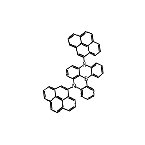 c1ccc2c(c1)B1c3ccccc3N(c3cc4cccc5ccc6cccc3c6c54)c3cccc(c31)N2c1cc2cccc3ccc4cccc1c4c32